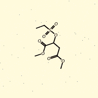 CCS(=O)(=O)OC(CC(=O)OC)C(=O)OC